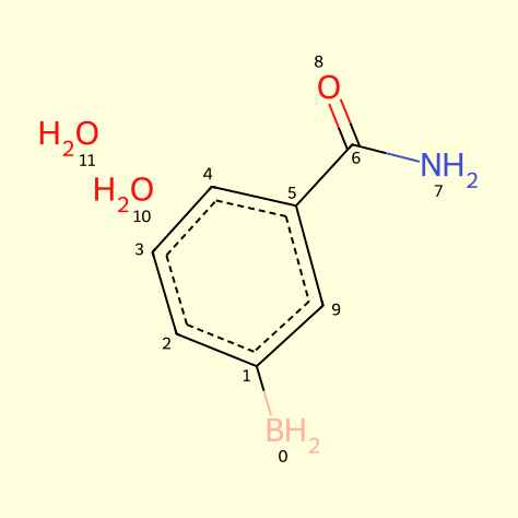 Bc1cccc(C(N)=O)c1.O.O